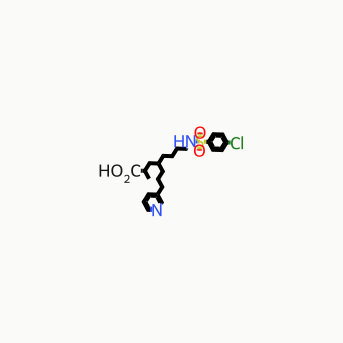 CC(CC(CCCCNS(=O)(=O)c1ccc(Cl)cc1)CCCc1cccnc1)C(=O)O